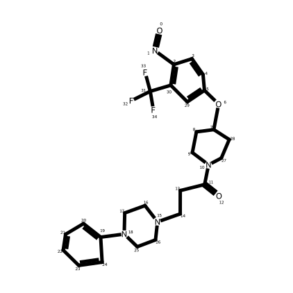 O=Nc1ccc(OC2CCN(C(=O)CCN3CCN(c4ccccc4)CC3)CC2)cc1C(F)(F)F